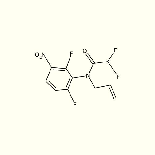 C=CCN(C(=O)C(F)F)c1c(F)ccc([N+](=O)[O-])c1F